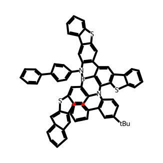 CC(C)(C)c1ccc(N2c3cc4c(cc3B3c5c(cc6c(sc7ccccc76)c52)-c2cc5sc6ccccc6c5cc2N3c2ccc(-c3ccccc3)cc2)sc2cc3ccccc3cc24)c(-c2ccccc2)c1